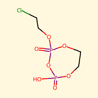 O=P1(O)OCCOP(=O)(OCCCl)O1